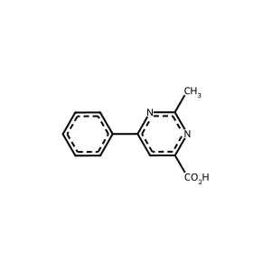 Cc1nc(C(=O)O)cc(-c2ccccc2)n1